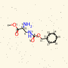 COC(=O)[C@@H](N)CNC(=O)OCc1ccccc1